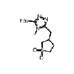 Cn1c(CC2CCS(=O)(=O)C2)nnc1C(C)(C)C